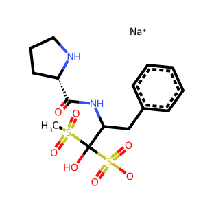 CS(=O)(=O)C(O)(C(Cc1ccccc1)NC(=O)[C@@H]1CCCN1)S(=O)(=O)[O-].[Na+]